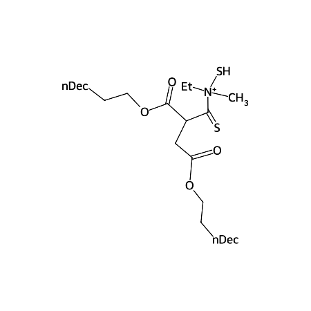 CCCCCCCCCCCCOC(=O)CC(C(=O)OCCCCCCCCCCCC)C(=S)[N+](C)(S)CC